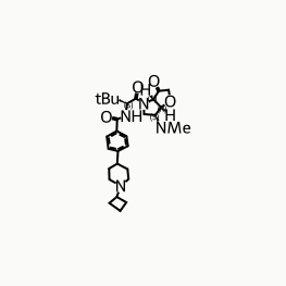 CN[C@H]1CN(C(=O)[C@@H](NC(=O)c2ccc(C3CCN(C4CCC4)CC3)cc2)C(C)(C)C)[C@@H]2C(=O)CO[C@H]12